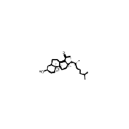 CC(C)CCC[C@@H](C)[C@H]1CC(=O)C2=C3CCC4CC(O)CC[C@]4(C)[C@H]3CC[C@@]21C